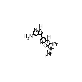 CC(C)C(Nc1cncc(-c2c[nH]c3ncc(N)cc23)c1)C(=O)NCN(F)F